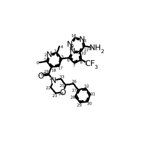 Cc1nc(C)c(-c2cc(C(F)(F)F)c3c(N)ncnn23)cc1C(=O)N1CCOC(Cc2ccccc2)C1